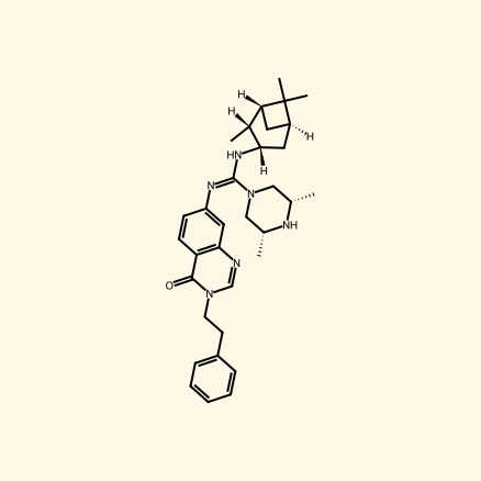 C[C@H]1[C@@H](NC(=Nc2ccc3c(=O)n(CCc4ccccc4)cnc3c2)N2C[C@@H](C)N[C@@H](C)C2)C[C@H]2C[C@H]1C2(C)C